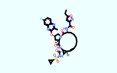 CCc1cc(C(=O)N[C@H]2CCCCCC=C[C@@H]3C[C@@]3(C(=O)NS(=O)(=O)C3CC3)NC(=O)[C@@H]3C[C@@H](Oc4nc5cc(F)ccc5nc4C)CN3C2=O)no1